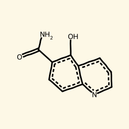 NC(=O)c1ccc2ncccc2c1O